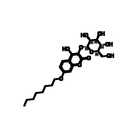 CCCCCCCCOc1ccc2c(O)c(O[C@H]3O[C@H](CO)[C@@H](O)[C@H](O)[C@@H]3O)c(=O)oc2c1